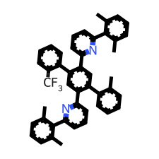 Cc1ccccc1-c1cc(-c2cccc(-c3c(C)cccc3C)n2)c(-c2ccccc2C(F)(F)F)cc1-c1cccc(-c2c(C)cccc2C)n1